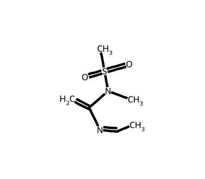 C=C(/N=C\C)N(C)S(C)(=O)=O